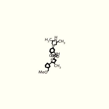 COCc1cccc(-c2sc(S(=O)(=O)Nc3cc(N4CC(C)NC(C)C4)ccc3OC)cc2C)c1